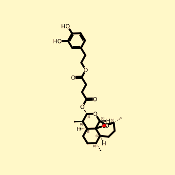 C[C@H]1[C@H](OC(=O)CCC(=O)OCCc2ccc(O)c(O)c2)O[C@@H]2O[C@]3(C)CC[C@H]4[C@H](C)CC[C@@H]1C24OO3